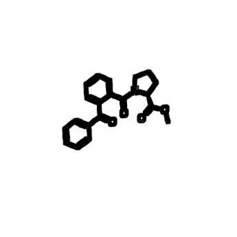 COC(=O)[C@@H]1CCCN1C(=O)c1ccccc1C(=O)c1ccccc1